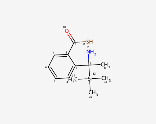 CC(N)(c1ccccc1C(=O)S)[Si](C)(C)C